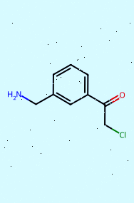 NCc1cccc(C(=O)CCl)c1